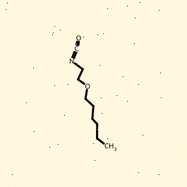 CCCCCCOCCN=C=O